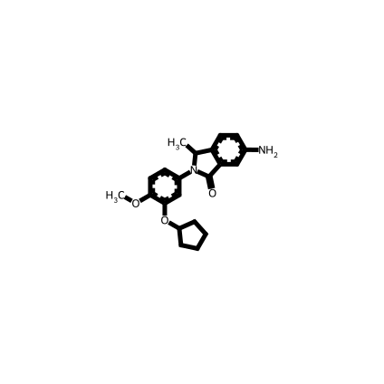 COc1ccc(N2C(=O)c3cc(N)ccc3C2C)cc1OC1CCCC1